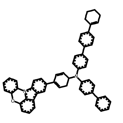 C1=CC(N(c2ccc(-c3ccccc3)cc2)c2ccc(-c3ccc(C4=CCCCC4)cc3)cc2)CC=C1c1ccc2c(c1)c1cccc3c1n2-c1ccccc1O3